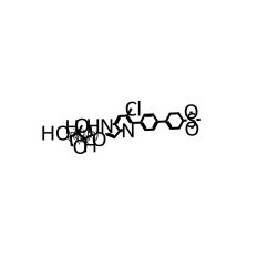 CS(=O)(=O)C1CC=C(c2ccc(-c3nc4cc(O[C@@H]5CO[C@H]6[C@@H]5OC[C@H]6O)[nH]c4cc3Cl)cc2)CC1